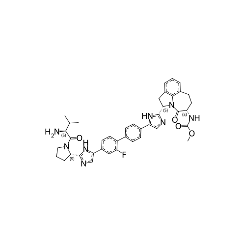 COC(=O)N[C@H]1CCc2cccc3c2N(C1=O)[C@H](c1ncc(-c2ccc(-c4ccc(-c5cnc([C@@H]6CCCN6C(=O)[C@@H](N)C(C)C)[nH]5)cc4F)cc2)[nH]1)C3